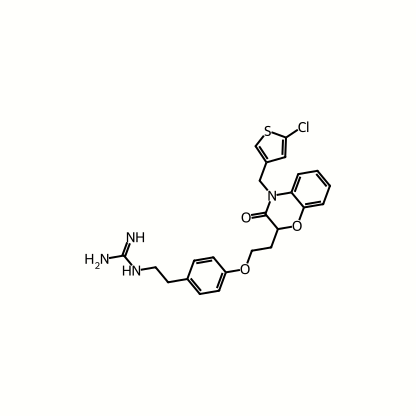 N=C(N)NCCc1ccc(OCCC2Oc3ccccc3N(Cc3csc(Cl)c3)C2=O)cc1